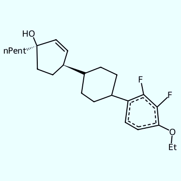 CCCCC[C@]1(O)C=C[C@@H](C2CCC(c3ccc(OCC)c(F)c3F)CC2)CC1